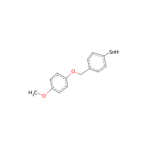 COc1ccc(OCc2cc[c]([SnH])cc2)cc1